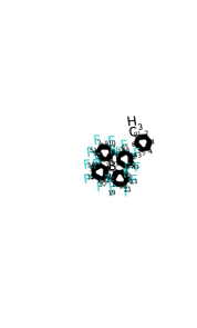 Cc1ccccc1.Fc1c(F)c(F)c([B-](c2c(F)c(F)c(F)c(F)c2F)(c2c(F)c(F)c(F)c(F)c2F)c2c(F)c(F)c(F)c(F)c2F)c(F)c1F